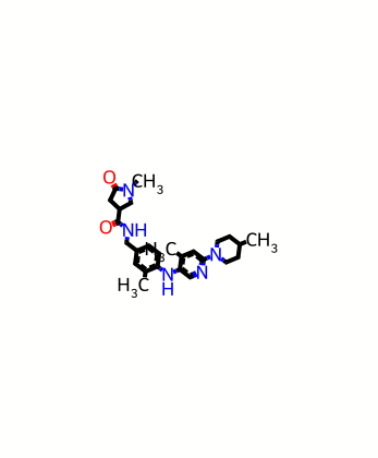 Cc1cc(CNC(=O)C2CC(=O)N(C)C2)ccc1Nc1cnc(N2CCC(C)CC2)cc1C